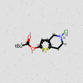 CC(C)(C)C(=O)Oc1cc2c(s1)CCN(Cl)C2